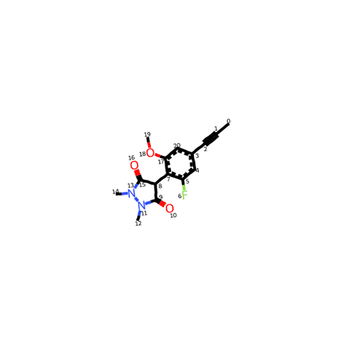 CC#Cc1cc(F)c(C2C(=O)N(C)N(C)C2=O)c(OC)c1